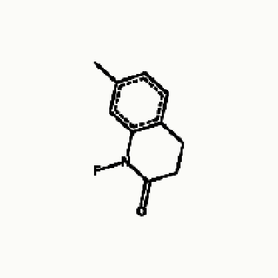 Cc1ccc2c(c1)N(F)C(=O)CC2